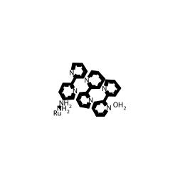 NN.O.[Ru].c1ccc(-c2ccccn2)nc1.c1ccc(-c2ccccn2)nc1.c1ccc(-c2ccccn2)nc1